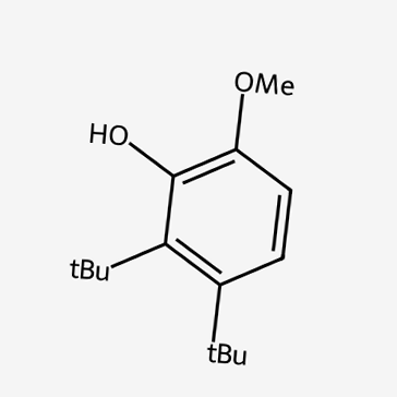 COc1ccc(C(C)(C)C)c(C(C)(C)C)c1O